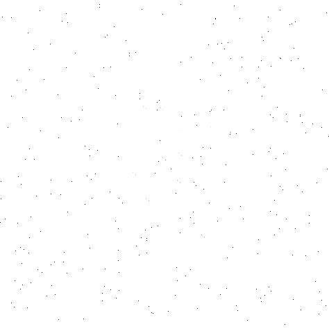 CC(C)(C)OC(=O)N(c1ccc(N2CCOCC2)cc1)c1ncc(-c2cnn(C3CCCCO3)c2C(C)(C)O[SiH2]C(C)(C)C)n2ncnc12